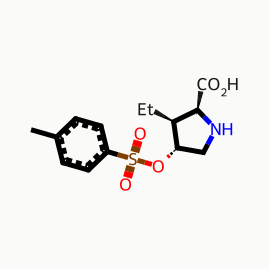 CC[C@@H]1[C@@H](OS(=O)(=O)c2ccc(C)cc2)CN[C@@H]1C(=O)O